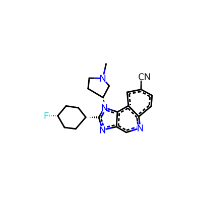 CN1CC[C@@H](n2c3c(cnc4ccc(C#N)cc43)nc2[C@H]2CC[C@@H](F)CC2)C1